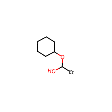 CCC(O)OC1CCCCC1